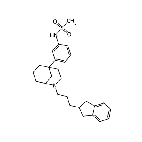 CS(=O)(=O)Nc1cccc(C23CCCC(C2)N(CCCC2Cc4ccccc4C2)CC3)c1